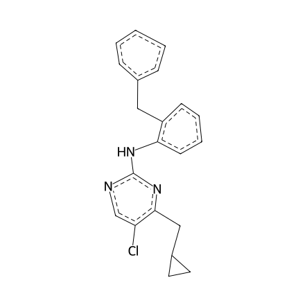 Clc1cnc(Nc2ccccc2Cc2ccccc2)nc1CC1CC1